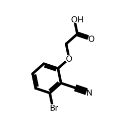 N#Cc1c(Br)cccc1OCC(=O)O